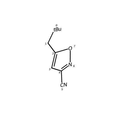 CC(C)(C)Cc1cc(C#N)no1